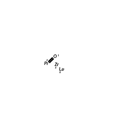 [La].[O]=[Pr].[Zr]